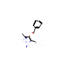 Cc1nn(C)c(CC#N)c1OCc1ccccc1